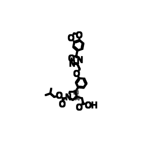 CC(C)COC(=O)N1C[C@H](CC(=O)O)[C@H](c2cccc(OCc3noc(-c4ccc5c(c4)OCO5)n3)c2)C1